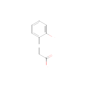 O=C(O)[CH2][Hg][c]1ccccc1O